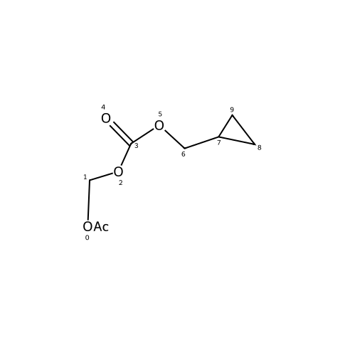 CC(=O)OCOC(=O)OCC1CC1